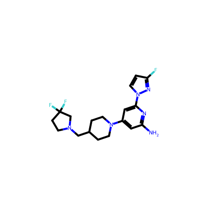 Nc1cc(N2CCC(CN3CCC(F)(F)C3)CC2)cc(-n2ccc(F)n2)n1